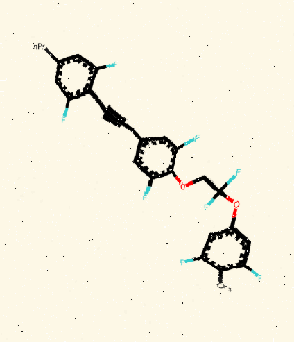 CCCc1cc(F)c(C#Cc2cc(F)c(OCC(F)(F)Oc3cc(F)c(C(F)(F)F)c(F)c3)c(F)c2)c(F)c1